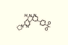 CS(=O)(=O)c1ccc(-c2cnc(N)c(-c3ccc(N4CCCC4)nc3)c2)cc1